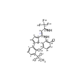 CS(=O)(=O)c1cccc(-c2ccc(/C(=C/C(=N)C(F)(F)F)Nc3cc(Cl)ccc3Cl)s2)c1